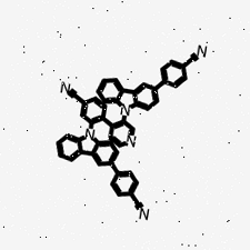 N#Cc1ccc(-c2ccc3c(c2)c2ccccc2n3-c2cnccc2-c2ccc(C#N)cc2-n2c3ccccc3c3cc(-c4ccc(C#N)cc4)ccc32)cc1